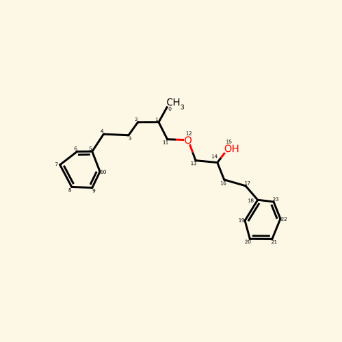 CC(CCCc1ccccc1)COCC(O)CCc1ccccc1